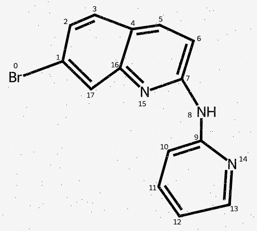 Brc1ccc2ccc(Nc3ccccn3)nc2c1